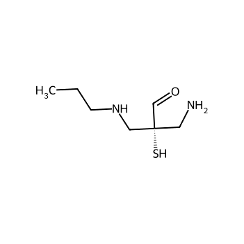 CCCNC[C@@](S)(C=O)CN